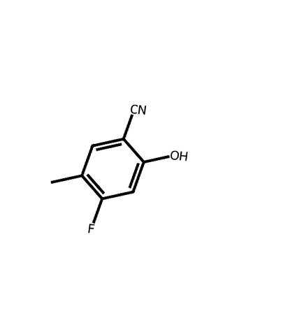 Cc1cc(C#N)c(O)cc1F